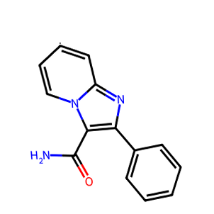 NC(=O)c1c(-c2ccccc2)nc2c[c]ccn12